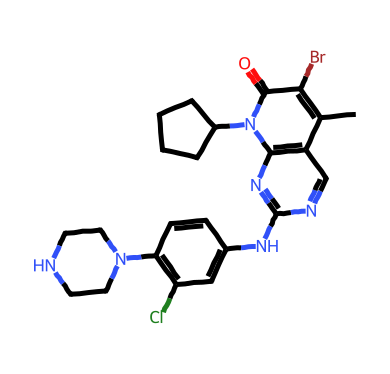 Cc1c(Br)c(=O)n(C2CCCC2)c2nc(Nc3ccc(N4CCNCC4)c(Cl)c3)ncc12